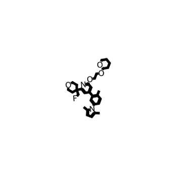 Cc1ccc(-n2c(C)ccc2C)cc1-c1cc(OCCOC2CCCCO2)nc(C2(CF)CCOCC2)c1